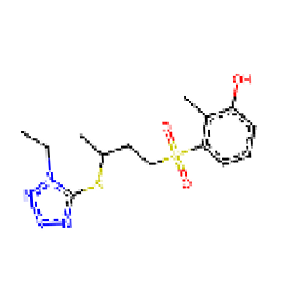 CCn1nnnc1SC(C)CCS(=O)(=O)c1cccc(O)c1C